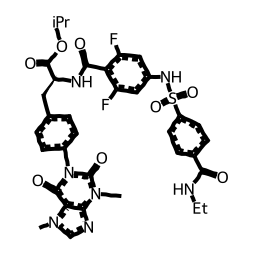 CCNC(=O)c1ccc(S(=O)(=O)Nc2cc(F)c(C(=O)N[C@@H](Cc3ccc(-n4c(=O)c5c(ncn5C)n(C)c4=O)cc3)C(=O)OC(C)C)c(F)c2)cc1